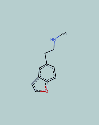 CC(C)NCCc1ccc2occc2c1